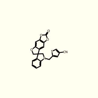 N#Cc1csc(CN2CC3(COc4cc5oc(=O)oc5cc43)c3ccccc32)c1